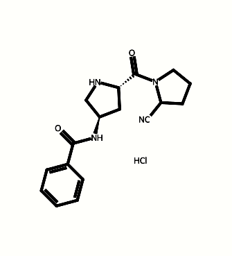 Cl.N#CC1CCCN1C(=O)[C@@H]1C[C@@H](NC(=O)c2ccccc2)CN1